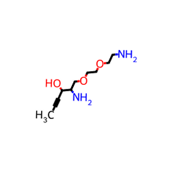 CC#CC(O)C(N)COCCOCCN